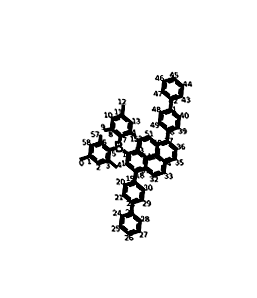 Cc1cc(C)c(B(c2c(C)cc(C)cc2C)c2cc(-c3ccc(-c4ccccc4)cc3)c3ccc4ccc(-c5ccc(-c6ccccc6)cc5)c5ccc2c3c45)c(C)c1